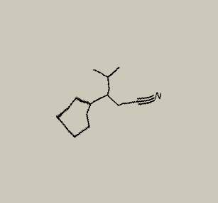 CC(C)C(CC#N)C1CCCC1